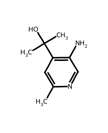 Cc1cc(C(C)(C)O)c(N)cn1